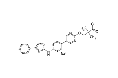 CC(C)(COc1ncc(-c2ccc(Nc3nc(-c4ccccc4)cs3)cc2)cn1)C(=O)[O-].[Na+]